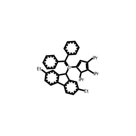 CCc1ccc2c(c1)[CH]([Zr]([C]1=CC(C(C)C)=C(C(C)C)C1C(C)C)=[C](c1ccccc1)c1ccccc1)c1cc(CC)ccc1-2